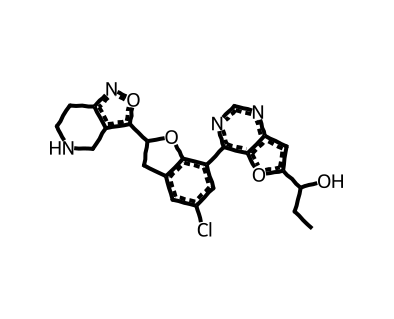 CCC(O)c1cc2ncnc(-c3cc(Cl)cc4c3OC(c3onc5c3CNCC5)C4)c2o1